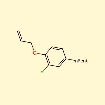 C=CCOc1ccc(CCCCC)cc1F